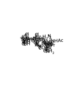 CC(=O)N[C@@H](CCCCN)C(=O)N[C@H](C(=O)N[C@@H](CCCNC(N)=O)C(=O)Nc1ccc(Cc2sc3c(OC(=O)N(C)CCN(C)C(=O)O)cc4c(c3c2C)[C@H](CCl)CN4C(=O)CCCC(=O)N2C[C@@H](CCl)c3c2cc(OP(=O)(O)O)c2scc(C)c32)cc1)C(C)C